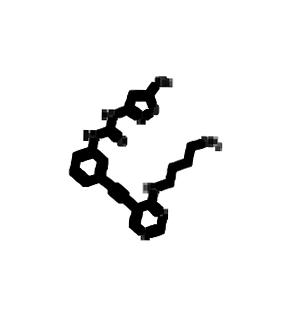 CC(C)(C)c1cc(NC(=O)Nc2cccc(C#Cc3cncnc3NCCCCN)c2)no1